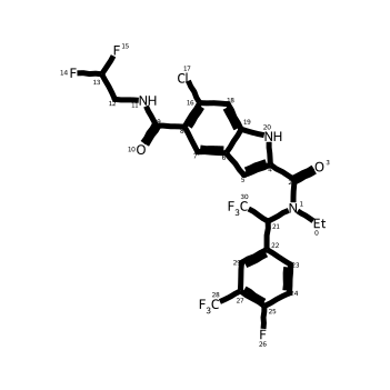 CCN(C(=O)c1cc2cc(C(=O)NCC(F)F)c(Cl)cc2[nH]1)C(c1ccc(F)c(C(F)(F)F)c1)C(F)(F)F